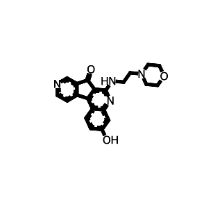 O=C1c2cnccc2-c2c1c(NCCN1CCOCC1)nc1cc(O)ccc21